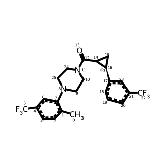 Cc1ccc(C(F)(F)F)cc1N1CCN(C(=O)C2C[C@H]2c2cccc(C(F)(F)F)c2)CC1